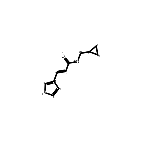 O=C(C=Cc1ccsc1)OCC1CC1